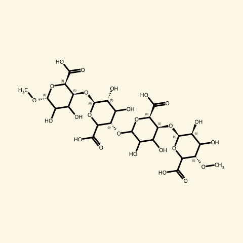 CO[C@@H]1O[C@@H](C(=O)O)[C@@H](O[C@@H]2OC(C(=O)O)[C@@H](OC3O[C@@H](C(=O)O)[C@@H](O[C@@H]4OC(C(=O)O)[C@@H](OC)C(O)[C@@H]4O)C(O)C3O)C(O)[C@H]2O)C(O)C1O